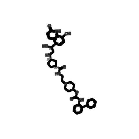 O=C(Nc1ccccc1-c1ccccc1)OC1CCN(CCNC(=O)[C@@H]2CC[C@H](NC[C@@H](O)c3ccc(O)c4[nH]c(=O)ccc34)C2)CC1